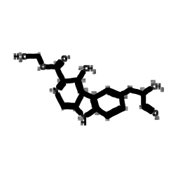 CCOC(=O)c1ncc2[nH]c3ccc(CC(C)C=O)cc3c2c1C